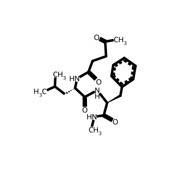 CNC(=O)[C@H](Cc1ccccc1)NC(=O)[C@H](CC(C)C)NC(=O)CCC(C)=O